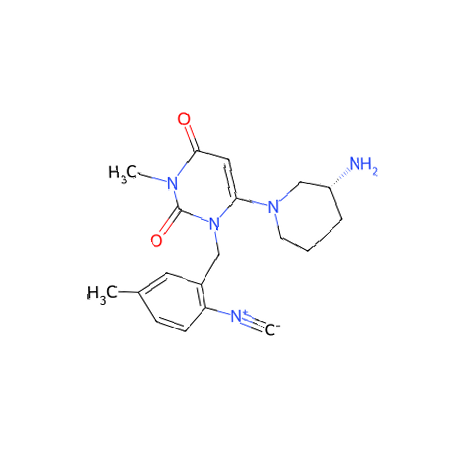 [C-]#[N+]c1ccc(C)cc1Cn1c(N2CCC[C@@H](N)C2)cc(=O)n(C)c1=O